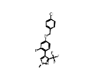 Cn1cc(-c2ccc(OCc3ccc(Cl)cc3)cc2F)c(C(F)(F)F)n1